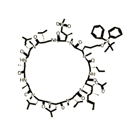 C/C=C/C[C@@H](C)[C@@H](OC(C)=O)[C@H]1C(=O)N[C@@H](CCC)C(=O)N(C)[C@H](CCCO[Si](c2ccccc2)(c2ccccc2)C(C)(C)C)C(=O)N(C)[C@@H]([C@H](C)CS(C)(=O)=O)C(=O)N[C@@H](C(C)C)C(=O)N(C)[C@@H](CC(C)C)C(=O)N[C@@H](C)C(=O)N[C@H](C)C(=O)N(C)[C@@H](CC(C)C)C(=O)N(C)[C@@H](CC(C)C)C(=O)N(C)[C@@H](C(C)C)C(=O)N1C